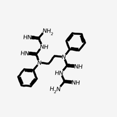 N=C(N)NC(=N)N(CCN(C(=N)NC(=N)N)c1ccccc1)c1ccccc1